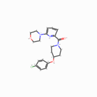 O=C(c1cccc(N2CCOCC2)n1)N1CCC(Oc2ccc(Cl)cc2)CC1